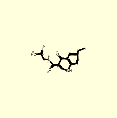 CCc1ccc2[nH]cc(C(=O)NCC(=O)O)c(=O)c2c1